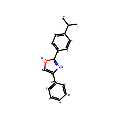 CC(C)c1ccc(-c2nc(-c3ccccc3)co2)cc1